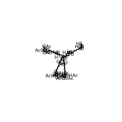 C#COP(=O)(O)OCCCCCCNC(=O)N1CCc2cc(C(=O)NC(COCCC(=O)NCCCCCCOC3OC(COC(C)=O)C(OC(C)=O)C(OC(C)=O)C3NC(C)=O)(COCCC(=O)NCCCCCCOC3OC(COC(C)=O)C(OC(C)=O)C(OC(C)=O)C3NC(C)=O)COCCC(=O)NCCCCCCOC3OC(COC(C)=O)C(OC(C)=O)C(OC(C)=O)C3NC(C)=O)ccc21